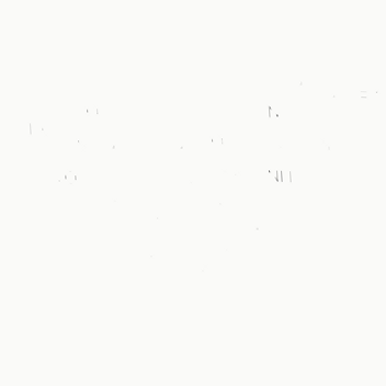 CS(=O)(=O)c1ccc(C2(C(=O)Nc3ncc(F)s3)CC2C2CCCC2)cc1